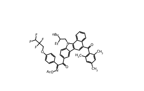 CCCCC(CC)Cn1c2ccc(C(=O)/C(=N/OC(C)=O)c3ccc(OCC(F)(F)C(F)F)cc3)cc2c2cc(C(=O)c3c(C)cc(C)cc3C)c3ccccc3c21